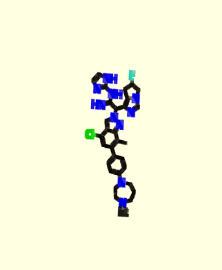 CCN1CCCN(c2ccc(-c3cc(Cl)c4cn(C(C(=N)Nc5ncc[nH]5)c5ncn6c5C[C@@H](F)C6)nc4c3C)cc2)CC1